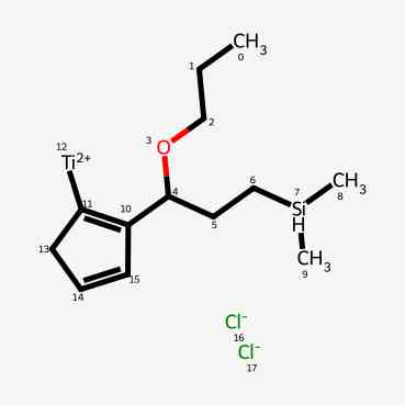 CCCOC(CC[SiH](C)C)C1=[C]([Ti+2])CC=C1.[Cl-].[Cl-]